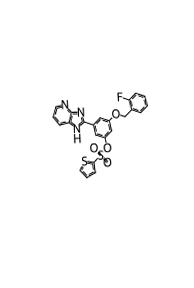 O=S(=O)(Oc1cc(OCc2ccccc2F)cc(-c2nc3ncccc3[nH]2)c1)c1cccs1